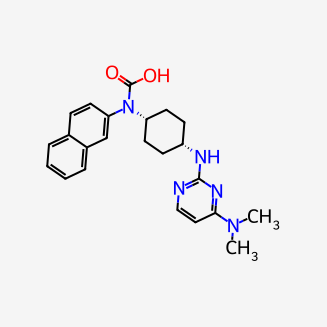 CN(C)c1ccnc(N[C@H]2CC[C@@H](N(C(=O)O)c3ccc4ccccc4c3)CC2)n1